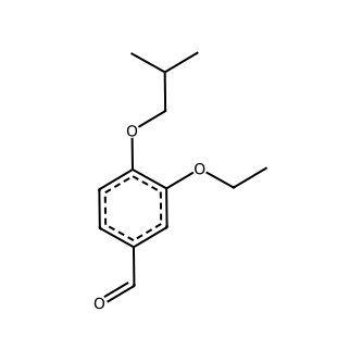 CCOc1cc(C=O)ccc1OCC(C)C